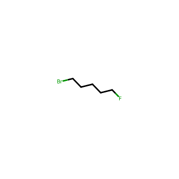 FCCCCCBr